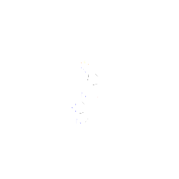 CCCS(=O)(=O)Nc1ccc(F)c(C(=O)Nc2cnc3[nH]cc(C)c3c2)c1F